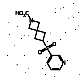 O=C(O)N1CC2(CC(S(=O)(=O)c3cccnc3)C2)C1